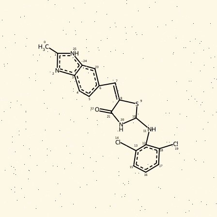 Cc1nc2ccc(C=C3SC(Nc4c(Cl)cccc4Cl)NC3=O)cc2[nH]1